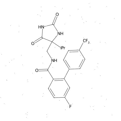 CC(C)C1(CNC(=O)c2ccc(F)cc2-c2ccc(C(F)(F)F)cc2)NC(=O)NC1=O